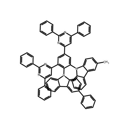 Cc1ccc2c(c1)c1ccccc1n2-c1cc(-c2cc(-c3ccccc3)nc(-c3ccccc3)n2)cc(-c2cc(-c3ccccc3)nc(-c3ccccc3)n2)c1-n1c2ccccc2c2cc(-c3ccccc3)ccc21